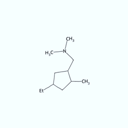 CCC1CC(C)C(CN(C)C)C1